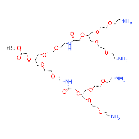 CC(C)(C)OC(=O)COC(COCCOCCNC(=O)COC(COCCOCCN)COCCOCCN)COCCOCCNC(=O)COC(COCCOCCN)COCCOCCN